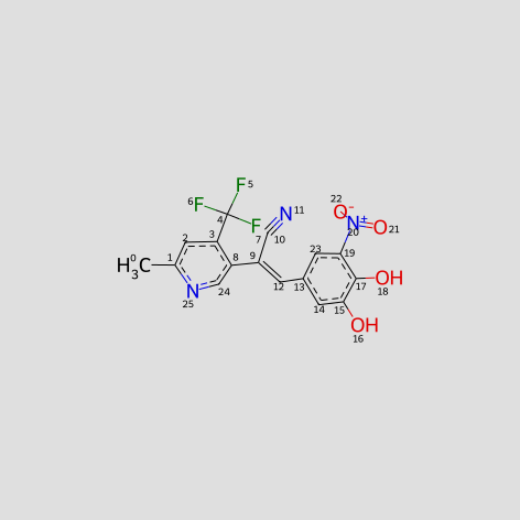 Cc1cc(C(F)(F)F)c(C(C#N)=Cc2cc(O)c(O)c([N+](=O)[O-])c2)cn1